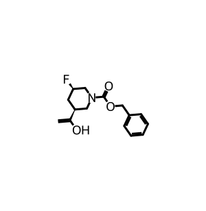 C=C(O)[C@H]1C[C@@H](F)CN(C(=O)OCc2ccccc2)C1